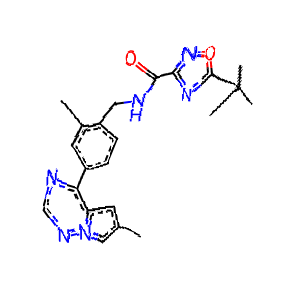 Cc1cc2c(-c3ccc(CNC(=O)c4noc(C(C)(C)C)n4)c(C)c3)ncnn2c1